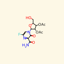 CC(=O)OC1C(CO)OC(n2cc(F)nc(C(N)=O)c2=O)C1OC(C)=O